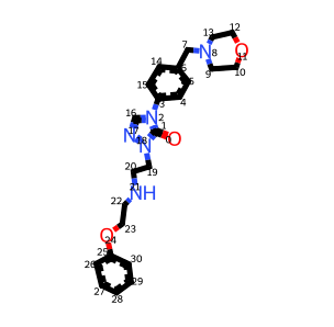 O=c1n(-c2ccc(CN3CCOCC3)cc2)cnn1CCNCCOc1ccccc1